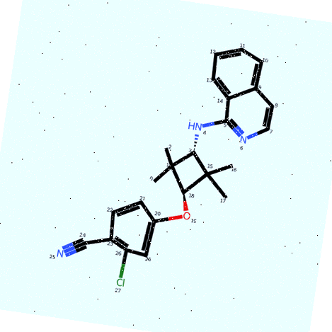 CC1(C)[C@H](Nc2nccc3ccccc23)C(C)(C)[C@H]1Oc1ccc(C#N)c(Cl)c1